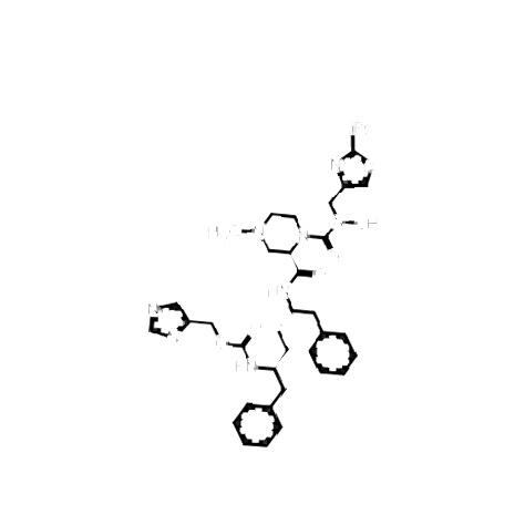 CC(C)c1nc(CN(C)C(=O)N2CCN(C)C[C@@H]2C(=O)N[C@@H](CC[C@@H](Cc2ccccc2)NC(=O)OCc2cncs2)Cc2ccccc2)cs1